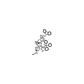 C=CCOC(=O)C[C@H](O)[C@H](NC(=O)[C@@H](CSC(c1ccccc1)(c1ccccc1)c1ccccc1)NC(=O)[C@@H](Cc1cscn1)NC(=O)OCC1c2ccccc2-c2ccccc21)C(C)C